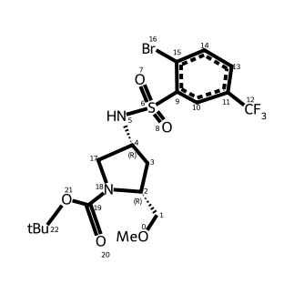 COC[C@H]1C[C@@H](NS(=O)(=O)c2cc(C(F)(F)F)ccc2Br)CN1C(=O)OC(C)(C)C